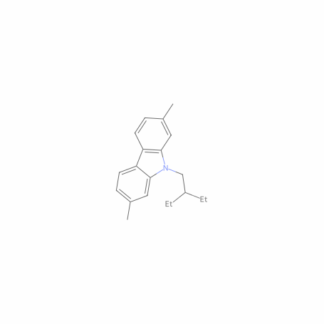 CCC(CC)Cn1c2cc(C)ccc2c2ccc(C)cc21